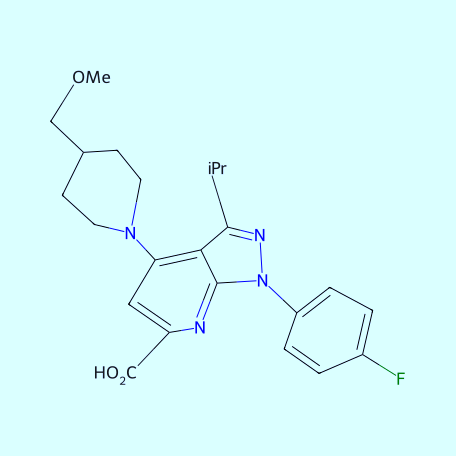 COCC1CCN(c2cc(C(=O)O)nc3c2c(C(C)C)nn3-c2ccc(F)cc2)CC1